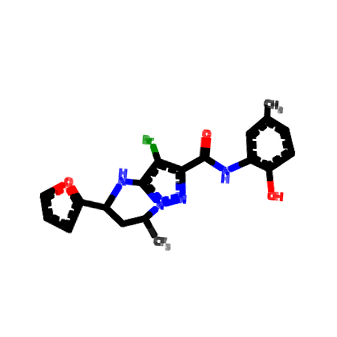 Cc1ccc(O)c(NC(=O)c2nn3c(c2Br)NC(c2ccco2)CC3C(F)(F)F)c1